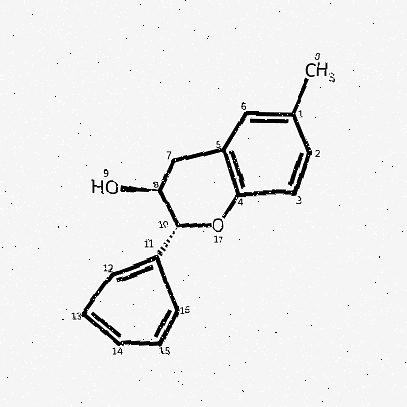 Cc1ccc2c(c1)C[C@H](O)[C@@H](c1ccccc1)O2